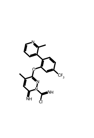 Cc1cc(=N)n(C(=N)Cl)nc1Oc1cc(C(F)(F)F)ccc1-c1cccnc1C